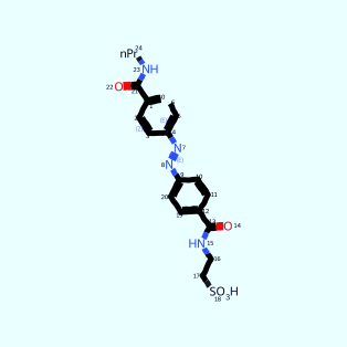 C=C(\C=C/C(=C\C)/N=N/c1ccc(C(=O)NCCS(=O)(=O)O)cc1)C(=O)NCCC